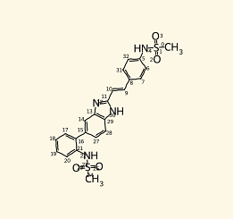 CS(=O)(=O)Nc1ccc(/C=C/c2nc3cc(-c4ccccc4NS(C)(=O)=O)ccc3[nH]2)cc1